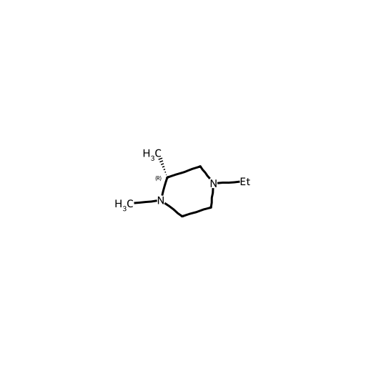 CCN1CCN(C)[C@H](C)C1